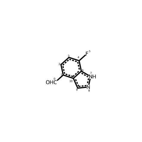 O=Cc1ccc(F)c2[nH]ncc12